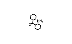 NN1CCCCC1C(=O)C1CCCCC1